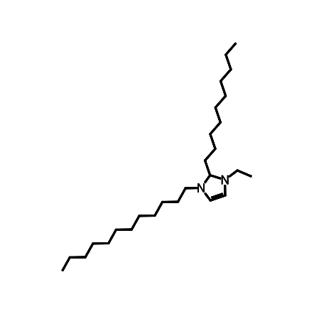 CCCCCCCCCCCCN1C=CN(CC)C1CCCCCCCCCC